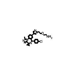 Cc1nnc2n1-c1ccc(-c3cnn(CCOCCN)c3)cc1C(c1ccc(Cl)cc1)=NC21CC1